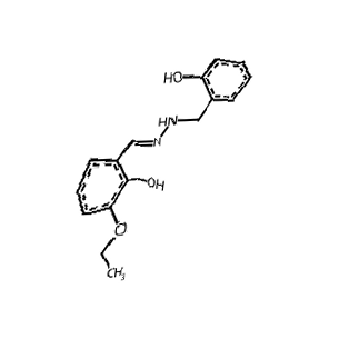 CCOc1cccc(C=NNCc2ccccc2O)c1O